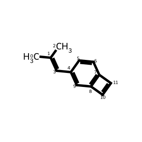 CC(C)=Cc1ccc2c(c1)C=C2